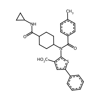 Cc1ccc(C(=O)N(c2sc(-c3ccccc3)cc2C(=O)O)C2CCC(C(=O)NC3CC3)CC2)cc1